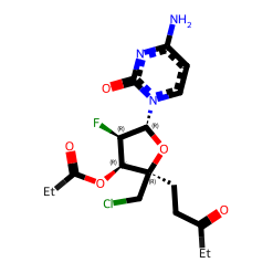 CCC(=O)CC[C@@]1(CCl)O[C@@H](n2ccc(N)nc2=O)[C@H](F)[C@@H]1OC(=O)CC